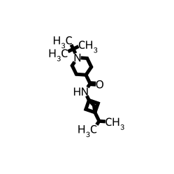 CC(C)C12CC(NC(=O)C3CCN(C(C)(C)C)CC3)(C1)C2